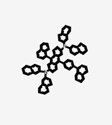 c1ccc2cc(N(c3ccc4ccccc4c3)c3ccc4c(-c5cccc6ccccc56)c5cc(N(c6ccc7ccccc7c6)c6ccc7ccccc7c6)ccc5c(-c5ccc(-c6cccc7ccccc67)cc5)c4c3)ccc2c1